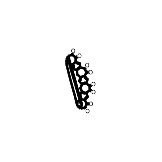 O=C1C(=O)c2cc3c4cc2Cc2cc5c(cc21)C(=O)C(=O)c1cc2c(cc1C5)Cc1cc(c(cc1C(=O)C2=O)C(=O)C3=O)C4